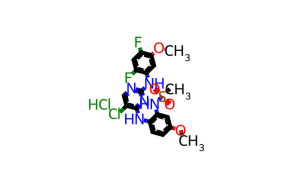 COc1ccc(Nc2nc(Nc3cc(OC)c(F)cc3F)ncc2Cl)c(NS(C)(=O)=O)c1.Cl